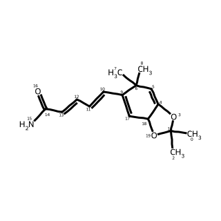 CC1(C)OC2=CC(C)(C)C(C=CC=CC(N)=O)=CC2O1